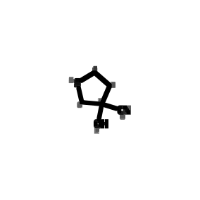 N#CC1(O)CCSC1